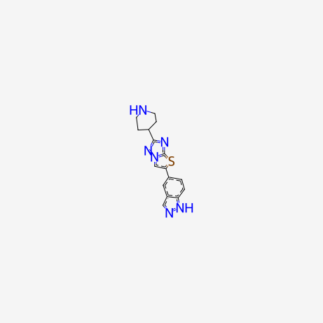 c1cc2[nH]ncc2cc1-c1cn2nc(C3CCNCC3)nc2s1